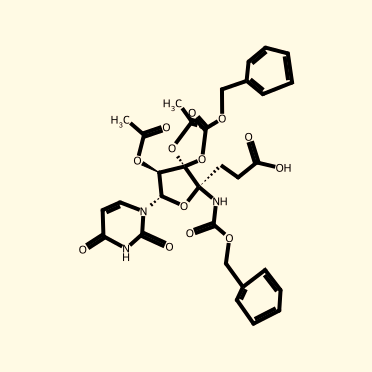 CC(=O)O[C@@H]1[C@@H](n2ccc(=O)[nH]c2=O)O[C@](CCC(=O)O)(NC(=O)OCc2ccccc2)[C@]1(OC(C)=O)OC(=O)OCc1ccccc1